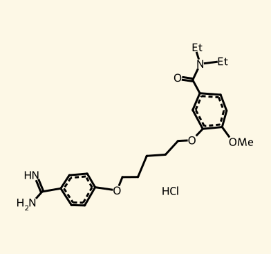 CCN(CC)C(=O)c1ccc(OC)c(OCCCCCOc2ccc(C(=N)N)cc2)c1.Cl